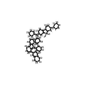 CC1(C)c2cc(-c3ccccc3)ccc2-c2ccc(N(c3ccccc3)c3ccc(-c4ccccc4-n4c5ccccc5c5cccc(-c6ccc7ccccc7c6)c54)cc3)cc21